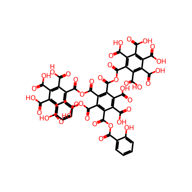 O=C(OC(=O)c1c(C(=O)O)c(C(=O)O)c(C(=O)OC(=O)c2c(C(=O)O)c(C(=O)O)c(C(=O)O)c(C(=O)O)c2C(=O)O)c(C(=O)OC(=O)c2c(C(=O)O)c(C(=O)O)c(C(=O)O)c(C(=O)O)c2C(=O)O)c1C(=O)Oc1ccccc1)c1ccccc1O